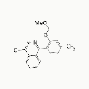 COCOc1cc(C(F)(F)F)ccc1-c1nnc(Cl)c2ccccc12